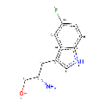 N[C@H](CO)Cc1c[nH]c2ccc(F)cc12